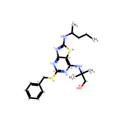 CCCC(C)Nc1nc2nc(SCc3ccccc3)nc(NC(C)(C)CO)c2s1